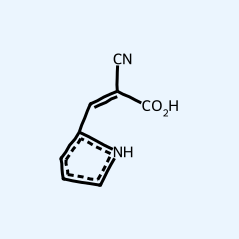 N#CC(=Cc1ccc[nH]1)C(=O)O